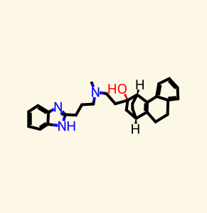 CN(CCCc1nc2ccccc2[nH]1)CC[C@@]1(O)C[C@@H]2CC[C@H]1C1=C2CCc2ccccc21